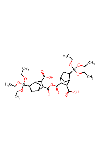 CCO[Si](OCC)(OCC)C1CC2CC1C(C(=O)O)C2C(=O)OC(=O)C1C2CC(C1C(=O)O)C([Si](OCC)(OCC)OCC)C2